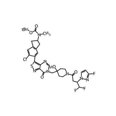 CN(C(=O)OC(C)(C)C)C1Cc2cc(Cl)c(-c3snc4c(=O)n(CC5(O)CCN(C(=O)CC(C(F)F)n6ccc(F)n6)CC5)cnc34)cc2C1